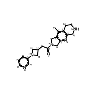 Cc1c2c(nc3c1CN(C(=O)CC1CN(c4cccnc4)C1)C3)CNCC2